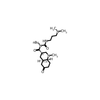 CCCCN(C(=O)NCCCN(C)C)C(=O)[C@@H]1C[C@@H]2CC(=O)CC[C@H]2N(C)C1